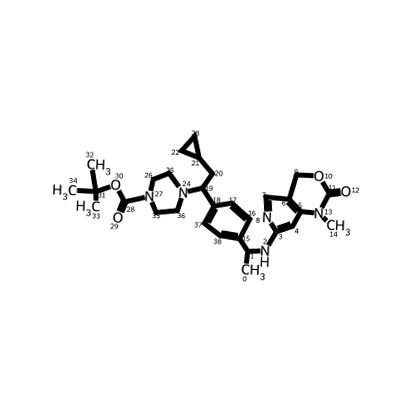 CC(Nc1cc2c(cn1)COC(=O)N2C)c1ccc(C(CC2CC2)N2CCN(C(=O)OC(C)(C)C)CC2)cc1